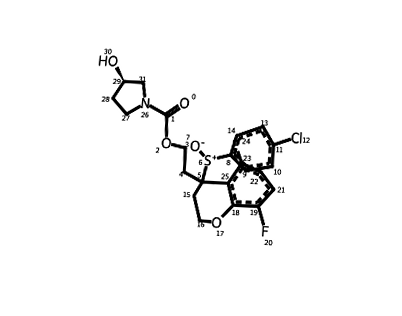 O=C(OCCC1([S+]([O-])c2ccc(Cl)cc2)CCOc2c(F)ccc(F)c21)N1CC[C@@H](O)C1